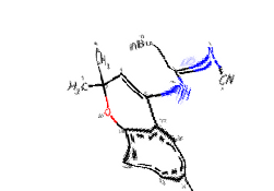 CCCC/C(=N/C#N)NC1=CC(C)(C)Oc2ccc(C#N)cc21